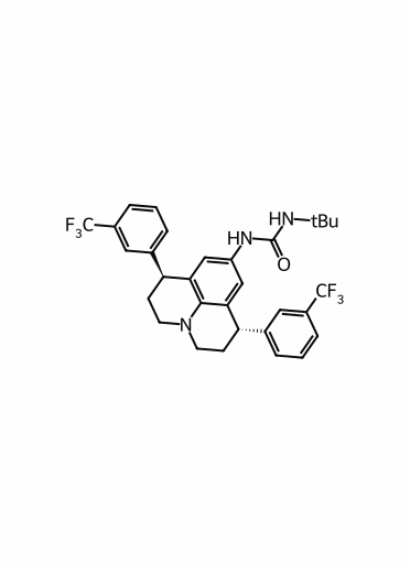 CC(C)(C)NC(=O)Nc1cc2c3c(c1)[C@H](c1cccc(C(F)(F)F)c1)CCN3CC[C@H]2c1cccc(C(F)(F)F)c1